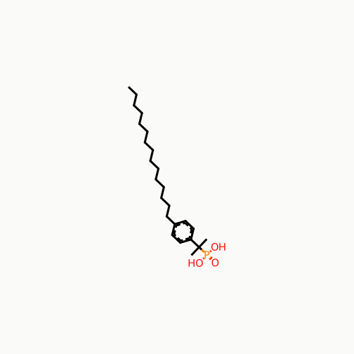 CCCCCCCCCCCCCCCc1ccc(C(C)(C)P(=O)(O)O)cc1